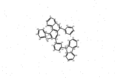 c1ccc(-c2nc3ccccc3c3c2cc(-c2cccc(-n4c5ccccc5c5ccccc54)c2)c2oc4ccccc4c23)cc1